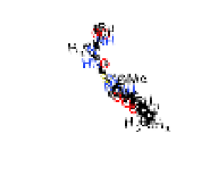 COc1nc(SCCC(=O)NCCN(C)CCNC(=O)OC(C)(C)C)nc(OC)c1NC(=O)c1ccc(Oc2cc3c(cc2C)CCC3(C)C)o1